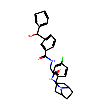 O=C(CNC(=O)c1cccc(C(O)c2ccccc2)c1)NC1CC2CCC(C1)N2Cc1ccc(Cl)cc1